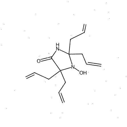 C=CCC1(CC=C)NC(=O)C(CC=C)(CC=C)N1O